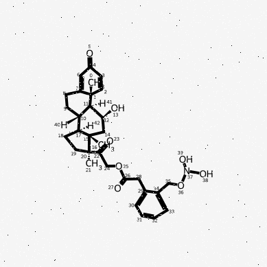 C[C@]12C=CC(=O)C=C1CC[C@@H]1[C@@H]2[C@@H](O)C[C@@]2(C)[C@H]1CC[C@]2(C)C(=O)COC(=O)Cc1ccccc1CON(O)O